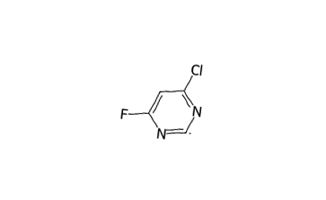 Fc1cc(Cl)n[c]n1